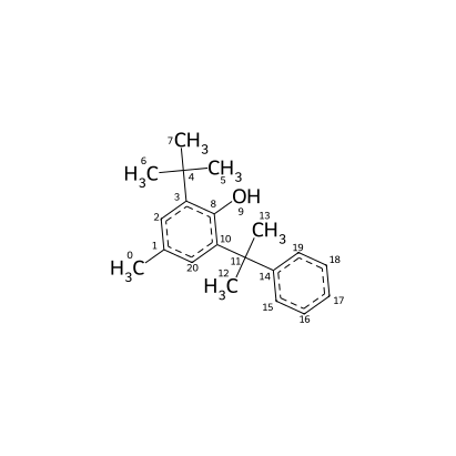 Cc1cc(C(C)(C)C)c(O)c(C(C)(C)c2ccccc2)c1